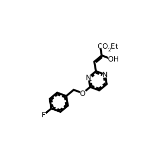 CCOC(=O)C(O)=Cc1nccc(OCc2ccc(F)cc2)n1